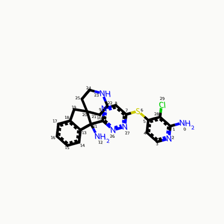 Nc1nccc(Sc2cnc(C3(N)c4ccccc4CC34CCNCC4)nn2)c1Cl